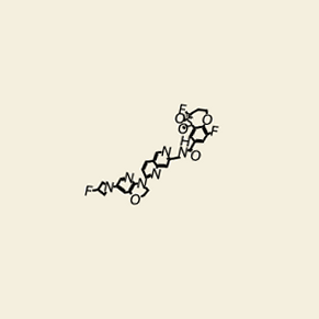 O=C(NCc1cc2nc(N3CCOc4cc(N5CC(F)C5)cnc43)ccc2cn1)c1cc(F)c2c(c1)S(=O)(=O)[C@@H](F)CCO2